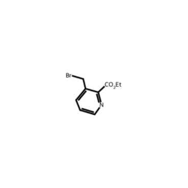 CCOC(=O)c1ncccc1CBr